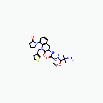 CC(C)C[C@@H](NC(=O)C(C)(C)N)C(=O)NC1Cc2cccc(N3CCCC3=O)c2N(CC2=CSCC2)C1=O